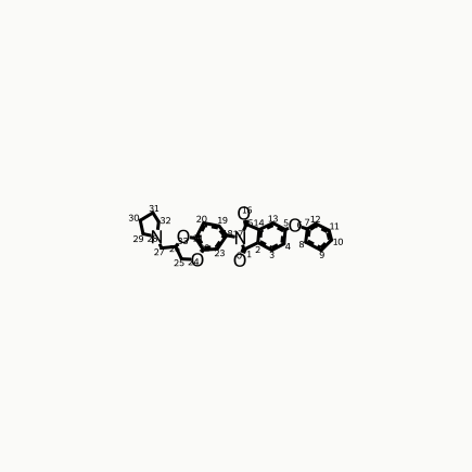 O=C1c2ccc(Oc3ccccc3)cc2C(=O)N1c1ccc2c(c1)OCC(CN1CCCC1)O2